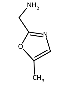 Cc1cnc(CN)o1